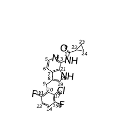 O=C(Nc1nccc2c(Cc3c(F)ccc(F)c3Cl)c[nH]c12)C1CC1